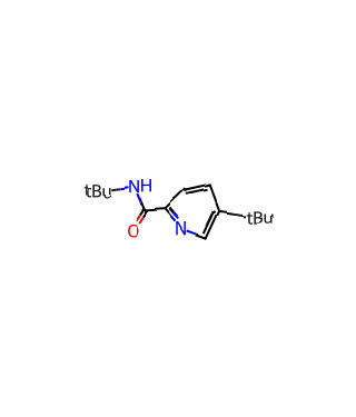 CC(C)(C)NC(=O)c1ccc(C(C)(C)C)cn1